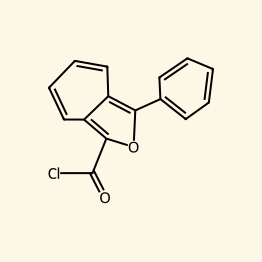 O=C(Cl)c1oc(-c2ccccc2)c2ccccc12